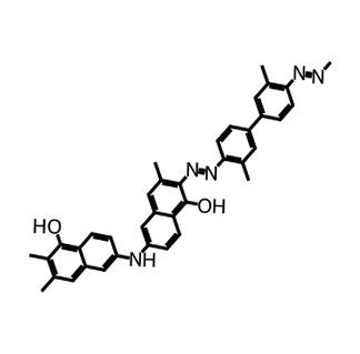 CN=Nc1ccc(-c2ccc(N=Nc3c(C)cc4cc(Nc5ccc6c(O)c(C)c(C)cc6c5)ccc4c3O)c(C)c2)cc1C